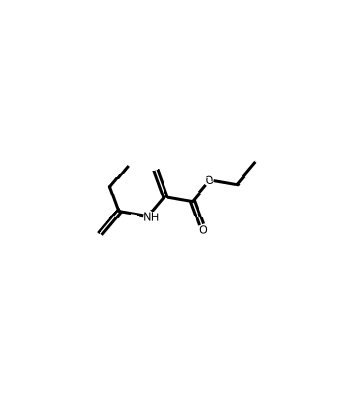 C=C(CC)NC(=C)C(=O)OCC